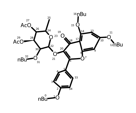 CCCCOc1ccc(-c2oc3cc(OCCCC)cc(OCCCC)c3c(=O)c2OC2OC(C)C(OC(C)=O)[C@H](OC(C)=O)C2OCCCC)cc1